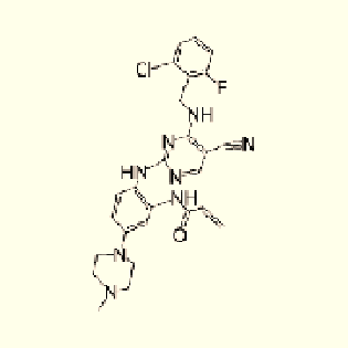 C=CC(=O)Nc1cc(N2CCN(C)CC2)ccc1Nc1ncc(C#N)c(NCc2c(F)cccc2Cl)n1